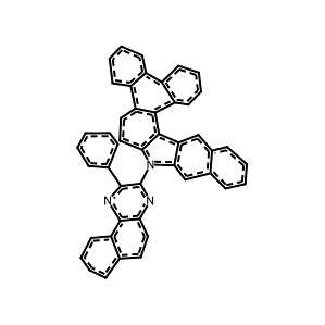 c1ccc(-c2nc3c(ccc4ccccc43)nc2-n2c3cc4ccccc4cc3c3c4c5ccccc5c5ccccc5c4ccc32)cc1